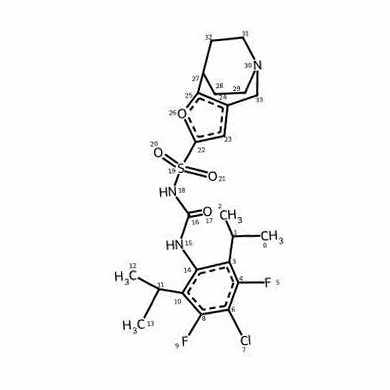 CC(C)c1c(F)c(Cl)c(F)c(C(C)C)c1NC(=O)NS(=O)(=O)c1cc2c(o1)C1CCN(CC1)C2